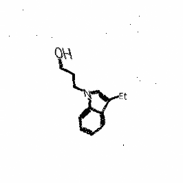 CCc1cn(CCCO)c2ccccc12